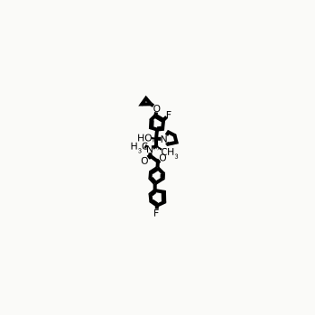 C[C@@H](N(C)C(=O)C(=O)c1ccc(-c2ccc(F)cc2)cc1)[C@](O)(c1ccc(OC2CC2)c(F)c1)N1CCCC1